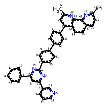 Cc1cc(-c2ccc(-c3ccc(-c4nc(-c5ccccc5)cc(-c5cccnc5)n4)cc3)cc2)c2ccc3ccc(C(C)C)nc3c2n1